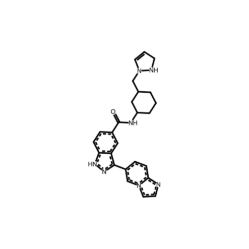 O=C(NC1CCCC(CN2C=CCN2)C1)c1ccc2[nH]nc(-c3ccc4nccn4c3)c2c1